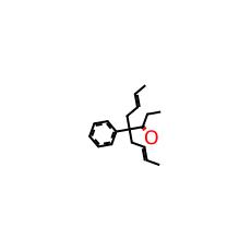 CC=CCC(CC=CC)(C(=O)CC)c1ccccc1